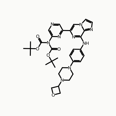 CC(C)(C)OC(=O)N(C(=O)OC(C)(C)C)c1cncc(-c2cn3ccnc3c(Nc3ccc(N4CCN(C5COC5)CC4)cc3)n2)n1